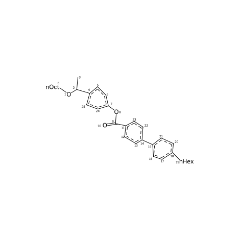 CCCCCCCCOC(C)c1ccc(OC(=O)c2ccc(-c3ccc(CCCCCC)cc3)cc2)cc1